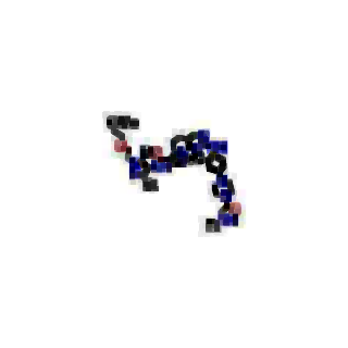 CCNCC(=O)N1CCN(c2ccc(Nc3ncc4c(n3)-n3ccc(C(=O)Nc5c(CC)nn(CCOCCOC)c5CC)c3CC4)c(OC)c2)CC1